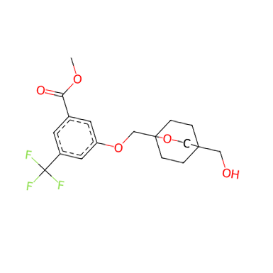 COC(=O)c1cc(OCC23CCC(CO)(CC2)CO3)cc(C(F)(F)F)c1